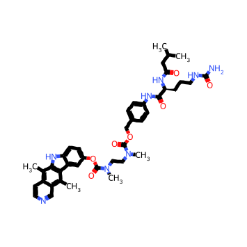 Cc1c2ccncc2c(C)c2c1[nH]c1ccc(OC(=O)N(C)CCN(C)C(=O)OCc3ccc(NC(=O)[C@H](CCCNC(N)=O)NC(=O)CC(C)C)cc3)cc12